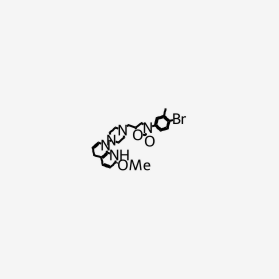 CO[C@@H]1C=CC2=C(N1)N(N1CCN(CC3CN(c4ccc(Br)c(C)c4)C(=O)O3)CC1)C=CC2